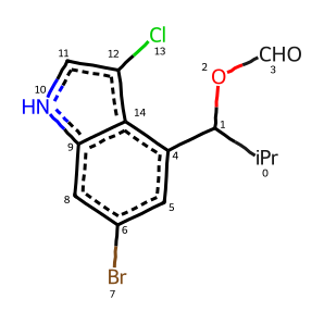 CC(C)C(OC=O)c1cc(Br)cc2[nH]cc(Cl)c12